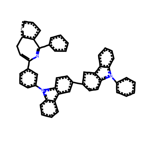 C1=C(c2cccc(-n3c4ccccc4c4cc(-c5ccc6c(c5)c5ccccc5n6-c5ccccc5)ccc43)c2)N=C(c2ccccc2)c2ccccc2C1